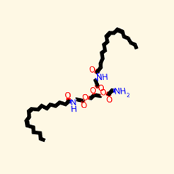 CCCCC/C=C\C/C=C\CCCCCCCC(=O)NCC(=O)OCC(COC(=O)CN)OC(=O)CNC(=O)CCCCCCC/C=C\C/C=C\CCCCC